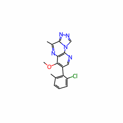 COc1c(-c2c(C)cccc2Cl)cnc2c1nc(C)c1nncn12